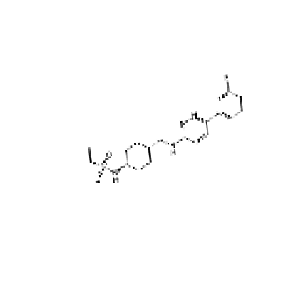 CCS(=O)(=O)N[C@H]1CC[C@H](CNc2ccc(-c3cccc(F)c3)nn2)CC1